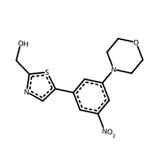 O=[N+]([O-])c1cc(-c2cnc(CO)s2)cc(N2CCOCC2)c1